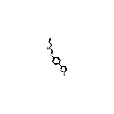 C=CCN/C=N/c1ccc(-c2cc[nH]n2)cc1